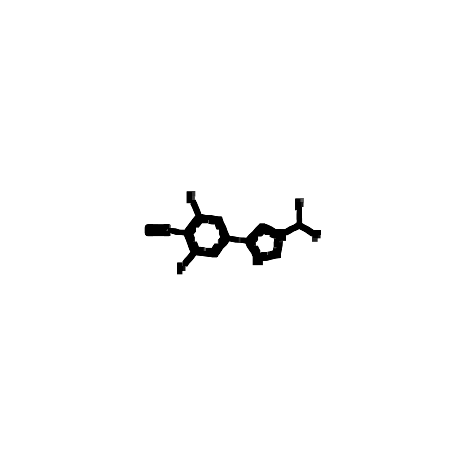 O=Cc1c(F)cc(-c2cn(C(F)F)cn2)cc1F